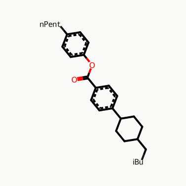 CCCCCc1ccc(OC(=O)c2ccc(C3CCC(CC(C)CC)CC3)cc2)cc1